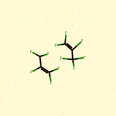 FC(F)=C(F)C(F)(F)F.FC(F)=C(F)C(F)F